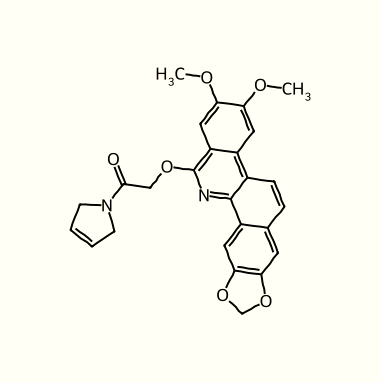 COc1cc2c(OCC(=O)N3CC=CC3)nc3c4cc5c(cc4ccc3c2cc1OC)OCO5